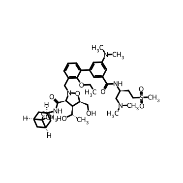 CCOc1c(CN2O[C@@H](CO)[C@@H]([C@H](C)O)[C@H]2C(=O)N[C@@H]2C[C@@H]3C[C@H](C2)C3(C)C)cccc1-c1cc(C(=O)N[C@@H](CCS(C)(=O)=O)CN(C)C)cc(N(C)C)c1